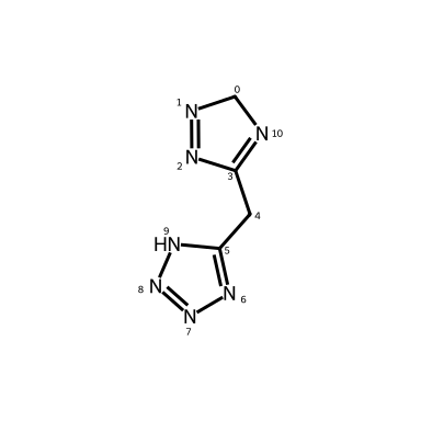 C1N=NC(Cc2nnn[nH]2)=N1